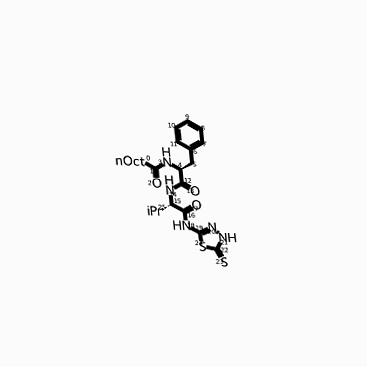 CCCCCCCCC(=O)N[C@@H](Cc1ccccc1)C(=O)N[C@H](C(=O)Nc1n[nH]c(=S)s1)C(C)C